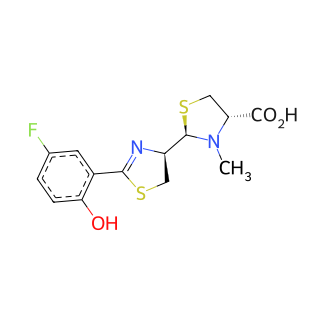 CN1[C@@H](C(=O)O)CS[C@@H]1[C@H]1CSC(c2cc(F)ccc2O)=N1